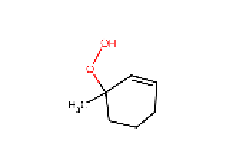 CC1(OO)C=CCCC1